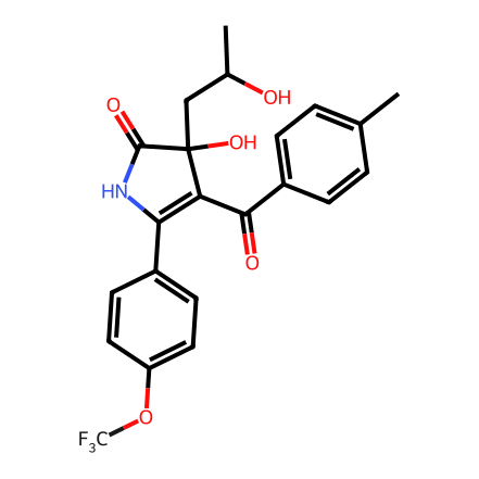 Cc1ccc(C(=O)C2=C(c3ccc(OC(F)(F)F)cc3)NC(=O)C2(O)CC(C)O)cc1